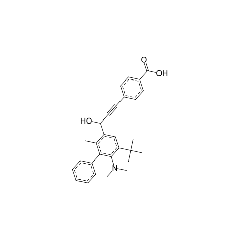 Cc1c(C(O)C#Cc2ccc(C(=O)O)cc2)cc(C(C)(C)C)c(N(C)C)c1-c1ccccc1